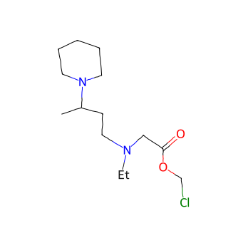 CCN(CCC(C)N1CCCCC1)CC(=O)OCCl